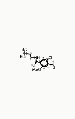 CCN(CC)CCNC(=O)c1cc(Cl)c(NI)cc1OC